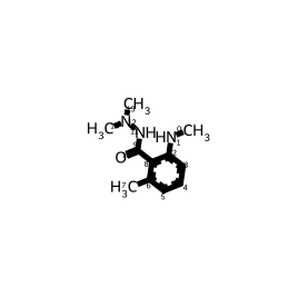 CNc1cccc(C)c1C(=O)NN(C)C